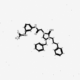 N=C1N(CC(=O)Nc2cccc(NC(N)=O)c2)C[C@H](Cc2ccccc2)N1CCCc1ccccc1